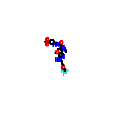 CCn1nc(C(=O)NC[C@H]2CC[C@@H](S(C)(=O)=O)CC2)c(C)c1-c1cnc(NCCCOCC(F)(F)F)cc1OC